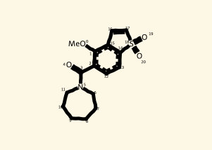 COc1c(C(=O)N2CCCCCC2)ccc2c1C=CS2(=O)=O